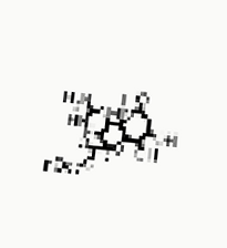 CCCCCCCCOC(=O)[C@]1(F)OC2C(NC(=O)C[C@@H](O)[C@H]2O)C(NC(=N)N)C1F